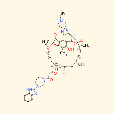 C/C1=C/C=C/C(C)CCC(O)C[C@H](OC(=O)CC(=O)N2CCCN(c3nc4ccccc4[nH]3)CC2)CC/C=C/OC2(C)Oc3c(C)c(O)c4c(c3C2=O)C2=NC3(CCN(CC(C)C)CC3)NC2=C(NC1=O)C4=O